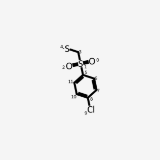 O=S(=O)(C[S])c1ccc(Cl)cc1